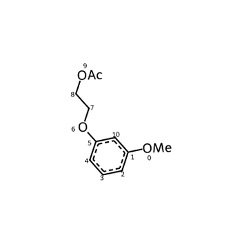 COc1cccc(OCCOC(C)=O)c1